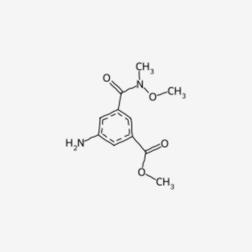 COC(=O)c1cc(N)cc(C(=O)N(C)OC)c1